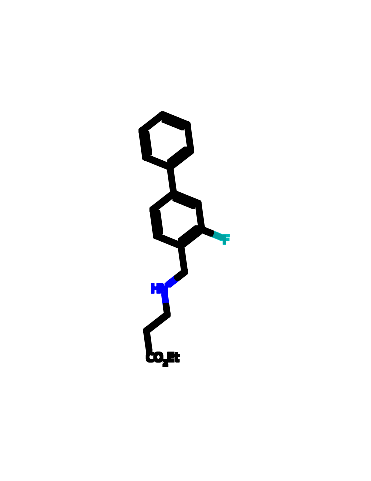 CCOC(=O)CCNCc1ccc(-c2ccccc2)cc1F